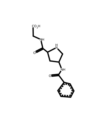 O=C(O)CNC(=O)C1CC(NC(=O)c2ccccc2)CN1